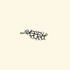 COC[C@@]1(O)CC[C@@]2(COC)[C@@H](CC[C@@H]3[C@@H]2CC[C@]2(C)C(=O)CC[C@@H]32)C1